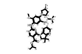 COc1cc(N2C[C@@H](F)C[C@@H]2CN(C)C)c(N)cc1Nc1ncc(C(=O)OC(C)C)c(N2CC(C)(C)c3ncccc32)n1